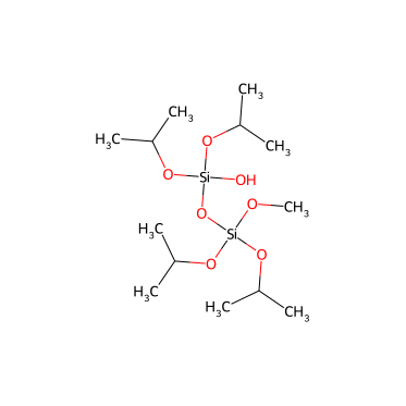 CO[Si](OC(C)C)(OC(C)C)O[Si](O)(OC(C)C)OC(C)C